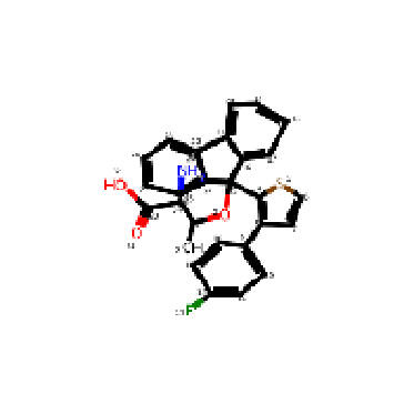 CC(OC1(c2sccc2-c2ccc(F)cc2)c2ccccc2-c2ccccc21)[C@H](N)C(=O)O